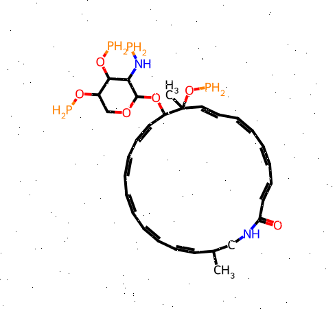 CC1\C=C/C=C\C=C/C=C\C=C/C(OC2OCC(OP)C(OP)C2NP)C(C)(OP)/C=C/C=C\C=C/C=C/C(=O)NC1